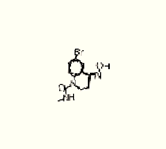 CNC(=O)N1CC/C(=N/O)c2cc(Br)ccc21